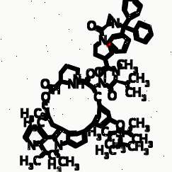 CCn1c(-c2cccnc2C(C)C)c2c3cc(ccc31)-c1cc(cc(O[Si](C(C)C)(C(C)C)C(C)C)c1)C[C@H](NC(=O)[C@H](C(C)C)N(C)C(=O)C1CCN(C(=O)[C@H]3CN3C(c3ccccc3)(c3ccccc3)c3ccccc3)CC1)C(=O)N1CCC[C@H](N1)C(=O)OCC(C)(C)C2